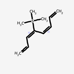 C=C/C=C\C(=C/C=C)S(C)(C)C